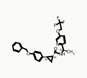 C[C@@H](NC(=O)[C@@H]1C[C@H]1c1ccc(OCc2ccccc2)cc1)c1ccc(OCC(F)(F)F)cn1